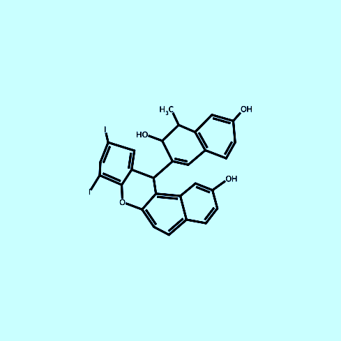 CC1c2cc(O)ccc2C=C(C2c3cc(I)cc(I)c3Oc3ccc4ccc(O)cc4c32)C1O